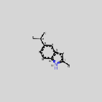 Cc1cc2cc(C(C)C)ccc2[nH]1